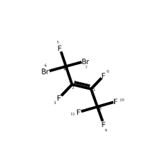 F/C(=C(/F)C(F)(Br)Br)C(F)(F)F